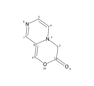 O=C1CN2C=CN=CC2=[C]O1